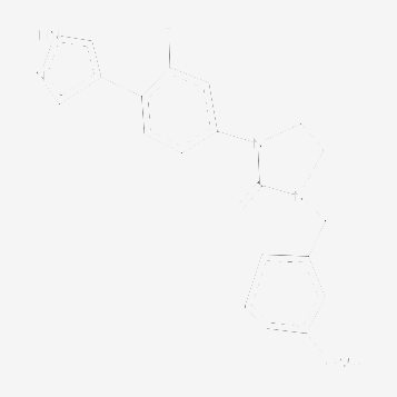 CCc1cc(N2CCN(Cc3cccc(OC)c3)C2=O)ccc1-c1cn[nH]c1